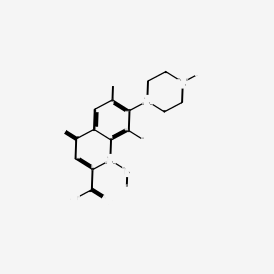 CNn1c(C(=O)O)cc(=O)c2cc(F)c(N3CCN(C)CC3)c(F)c21